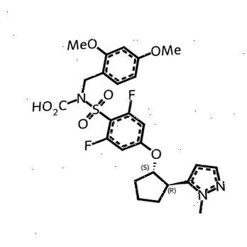 COc1ccc(CN(C(=O)O)S(=O)(=O)c2c(F)cc(O[C@H]3CCC[C@@H]3c3ccnn3C)cc2F)c(OC)c1